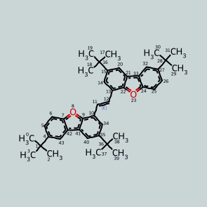 CC(C)(C)c1ccc2oc3c(/C=C/c4cc(C(C)(C)C)cc5c4oc4ccc(C(C)(C)C)cc45)cc(C(C)(C)C)cc3c2c1